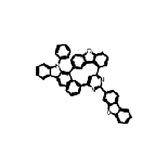 c1ccc(-c2cc(-c3cccc4oc5ccc(-c6cccc7c8ccccc8n(-c8ccccc8)c67)cc5c34)nc(-c3ccc4c(c3)oc3ccccc34)n2)cc1